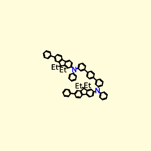 CCC1(CC)c2cc(-c3ccccc3)ccc2-c2ccc(N(c3ccccc3)c3cccc(-c4ccc(-c5cccc(N(c6ccccc6)c6ccc7c(c6)C(CC)(CC)c6cc(-c8ccccc8)ccc6-7)c5)cc4)c3)cc21